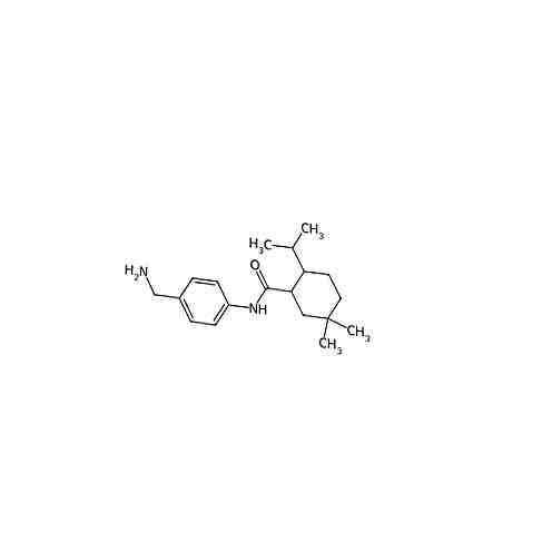 CC(C)C1CCC(C)(C)CC1C(=O)Nc1ccc(CN)cc1